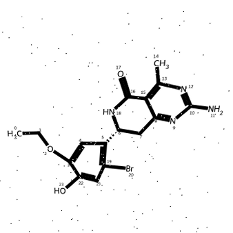 CCOc1cc([C@H]2Cc3nc(N)nc(C)c3C(=O)N2)c(Br)cc1O